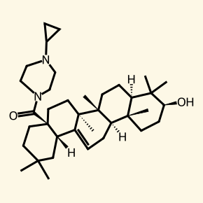 CC1(C)CC[C@]2(C(=O)N3CCN(C4CC4)CC3)CC[C@]3(C)C(=CC[C@@H]4[C@@]5(C)CC[C@H](O)C(C)(C)[C@@H]5CC[C@]43C)[C@@H]2C1